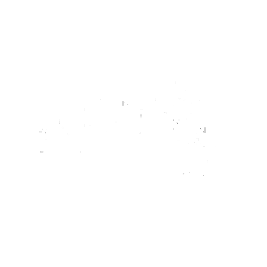 O=C(Nc1ccc(-c2cncc(F)c2)cc1)C1CCc2sc(NS(=O)(=O)C3CC3)nc21